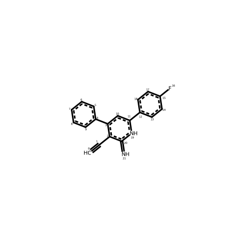 C#Cc1c(-c2ccccc2)cc(-c2ccc(F)cc2)[nH]c1=N